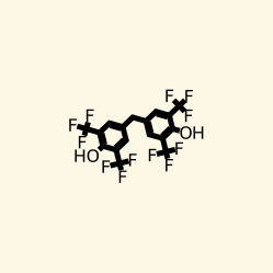 Oc1c(C(F)(F)F)cc(Cc2cc(C(F)(F)F)c(O)c(C(F)(F)F)c2)cc1C(F)(F)F